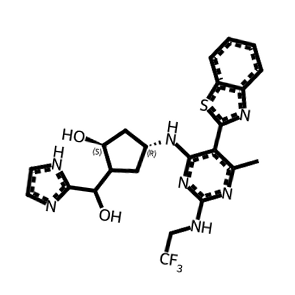 Cc1nc(NCC(F)(F)F)nc(N[C@@H]2CC(C(O)c3ncc[nH]3)[C@@H](O)C2)c1-c1nc2ccccc2s1